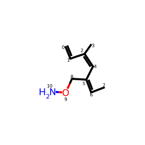 C=C/C(C)=C\C(=C/C)CON